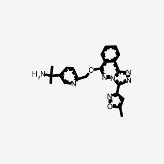 Cc1cc(-c2nnc3c4ccccc4c(OCc4ccc(C(C)(C)N)cn4)nn23)no1